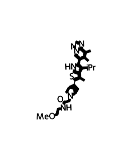 COCCNC(=O)CN1CC2CC1C[C@H]2c1sc2[nH]c(-c3cn4ncnc4c(C)c3C)c(C(C)C)c2c1C